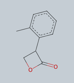 Cc1ccccc1C1COC1=O